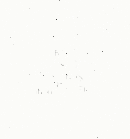 CCCCCCCCC[n+]1cn(-c2c(CC)ccc3ccccc23)c(Cl)c1Cl.[Br-]